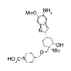 COc1cc2c(cc1N)=CC([C@H]1CC[C@@](COCC3CCN(C(=O)O)CC3)(C(C)(C)C)C(O)C1)N=2